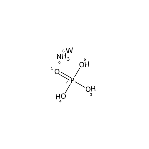 N.O=P(O)(O)O.[W]